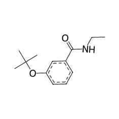 CCNC(=O)c1cccc(OC(C)(C)C)c1